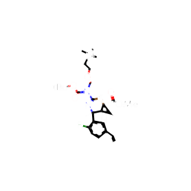 C=Cc1ccc(F)c([C@@]2(C)N=C(N(COCC[Si](C)(C)C)C(=O)OC(C)(C)C)S[C@@]3(C(=O)OC)C[C@H]32)c1